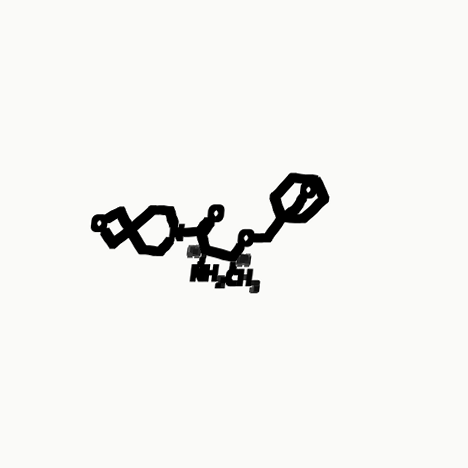 C[C@@H](OCC12CCC(CC1)OC2)[C@H](N)C(=O)N1CCC2(CC1)COC2